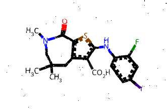 CN1CC(C)(C)Cc2c(sc(Nc3ccc(I)cc3F)c2C(=O)O)C1=O